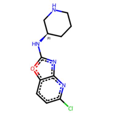 Clc1ccc2oc(N[C@@H]3CCCNC3)nc2n1